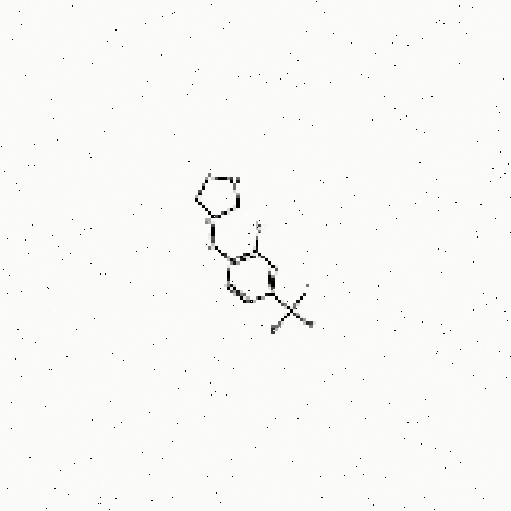 FC(F)(F)c1ccc(O[C@H]2CCOC2)c(Br)c1